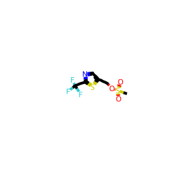 CS(=O)(=O)OCc1cnc(C(F)(F)F)s1